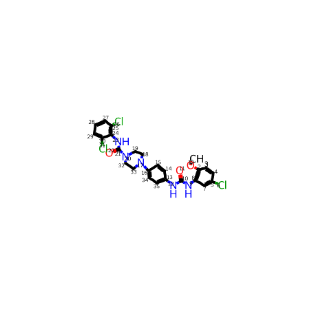 COc1ccc(Cl)cc1NC(=O)Nc1ccc(N2CCN(C(=O)Nc3c(Cl)cccc3Cl)CC2)cc1